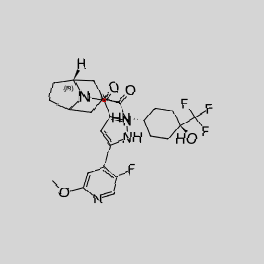 COc1cc(-c2cc(C(=O)N3C4CC[C@@H]3C[C@@H](C(=O)N[C@H]3CC[C@@](O)(C(F)(F)F)CC3)C4)n[nH]2)c(F)cn1